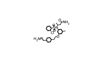 Cc1cc(OCCc2ccc(C=NN)cc2)cc(N(C(C)CC(N)=O)S(=O)(=O)c2ccccc2Cl)c1